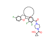 O=C(c1ccc(C2Oc3ccc(F)cc3CC23CCCCCCCCCCC3)c(F)c1F)N1CCN(C(=O)C2(O)CC2)CC1